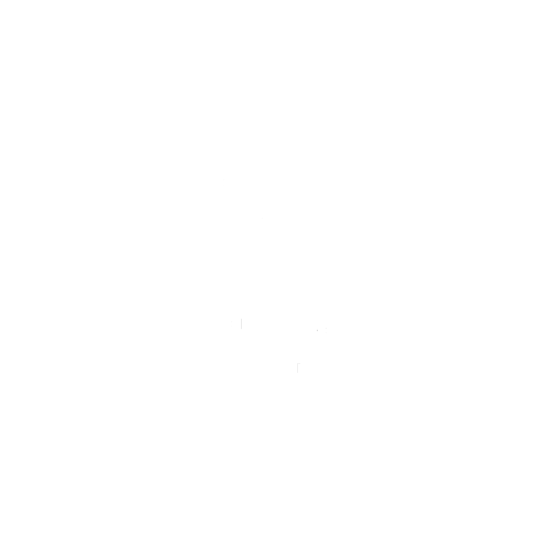 Clc1ccc(OI)c(Cl)c1